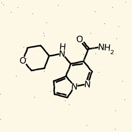 NC(=O)c1cnn2cccc2c1NC1CCOCC1